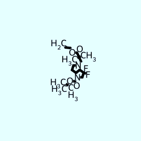 C=CCOC(=O)C(C)(C)CN1CCC2C1C(F)(F)CN2C(=O)OC(C)(C)C